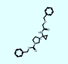 O=C(COCc1ccccc1)NC1([C@@H]2CCN(C(=O)OCc3ccccc3)C2)CC1